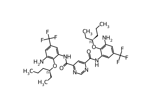 CCC[C@H](CC)Oc1c(N)cc(C(F)(F)F)cc1NC(=O)c1cc(C(=O)Nc2cc(C(F)(F)F)cc(N)c2O[C@@H](CC)CCC)ncn1